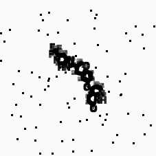 O=C1CCc2c(Oc3ccc4c(c3)CC(c3nc5cc(C(F)(F)F)ncc5[nH]3)CO4)ccnc2N1